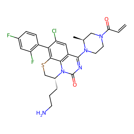 C=CC(=O)N1CCN(c2nc(=O)n3c4c(c(-c5ccc(F)cc5F)c(Cl)cc24)SC[C@H]3CCCN)[C@@H](C)C1